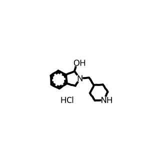 Cl.OC1c2ccccc2CN1CC1CCNCC1